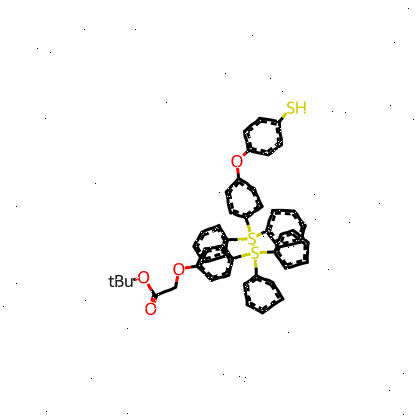 CC(C)(C)OC(=O)COc1ccc(S(c2ccccc2)(c2ccccc2)S(c2ccccc2)(c2ccccc2)c2ccc(Oc3ccc(S)cc3)cc2)cc1